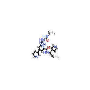 CCNC(=O)Nc1nc2cc(-c3cccnc3)cc(C(=O)NC(CC)c3ccncc3)n2n1